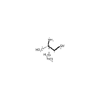 Cl.N[C@H](CS)C(=O)O.O